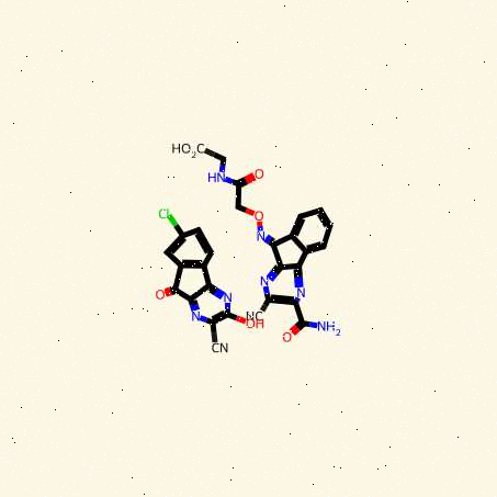 N#Cc1nc2c(nc1C(N)=O)-c1ccccc1C2=NOCC(=O)NCC(=O)O.N#Cc1nc2c(nc1O)-c1ccc(Cl)cc1C2=O